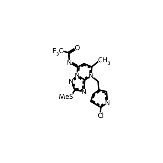 CSc1nc2n(Cc3ccc(Cl)nc3)c(C)cc(=NC(=O)C(F)(F)F)n2n1